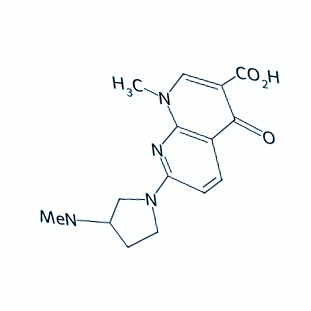 CNC1CCN(c2ccc3c(=O)c(C(=O)O)cn(C)c3n2)C1